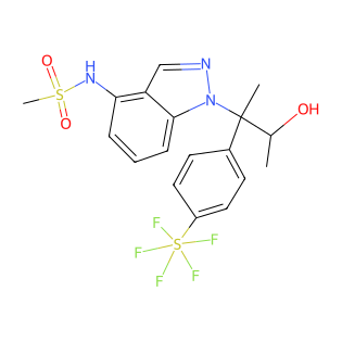 CC(O)C(C)(c1ccc(S(F)(F)(F)(F)F)cc1)n1ncc2c(NS(C)(=O)=O)cccc21